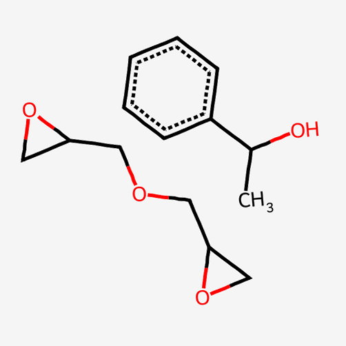 C(OCC1CO1)C1CO1.CC(O)c1ccccc1